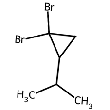 CC(C)C1CC1(Br)Br